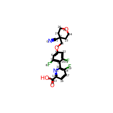 N#CC1(COc2cc(F)c(-c3nc(C(=O)O)ccc3F)c(F)c2)CCOCC1